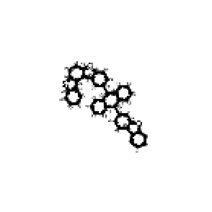 c1ccc2c(c1)oc1cc(-c3c4ccccc4c(-c4ccc5oc6ccc7sc8ccccc8c7c6c5c4)c4ccccc34)ccc12